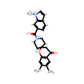 Cc1cc2c(cc1C)C(=O)CC1(CCN(C(=O)c3ccc4ccn(C)c4c3)CC1)O2